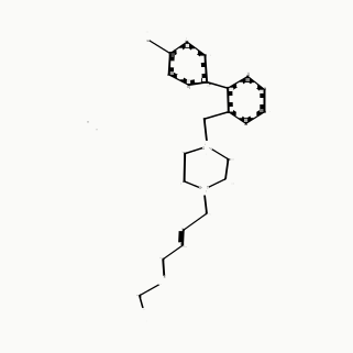 CCOC(=O)COCC=CCN1CCN(Cc2ccccc2-c2ccc(Cl)cc2)CC1.Cl.Cl